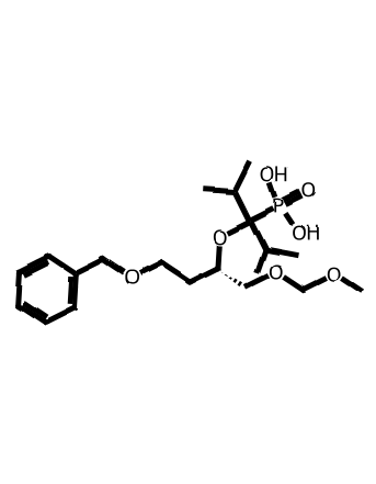 COCOC[C@H](CCOCc1ccccc1)OC(C(C)C)(C(C)C)P(=O)(O)O